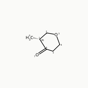 C[C@@H]1[CH]OCCC1=O